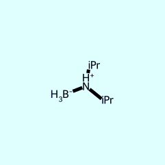 [BH3-][NH+](C(C)C)C(C)C